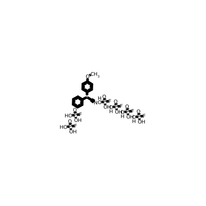 COc1ccc(I(C#N)c2ccccc2)cc1.O=P(O)(O)F.O=P(O)(O)F.O=P(O)(O)F.O=P(O)(O)F.O=P(O)(O)F.O=P(O)(O)F